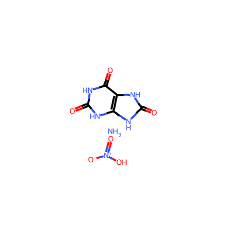 N.O=[N+]([O-])O.O=c1[nH]c(=O)c2[nH]c(=O)[nH]c2[nH]1